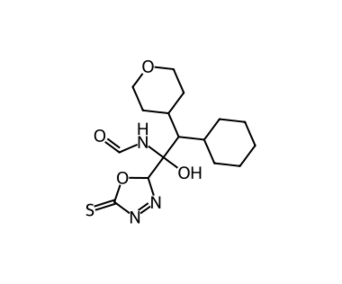 O=CNC(O)(C1N=NC(=S)O1)C(C1CCCCC1)C1CCOCC1